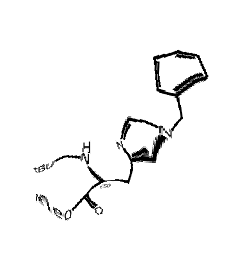 COC(=O)[C@H](Cc1cn(Cc2ccccc2)cn1)NC(C)(C)C